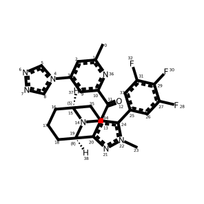 Cc1cc(-n2cnnc2)cc(C(=O)CN2[C@H]3CCC[C@@H]2c2nn(C)c(-c4cc(F)c(F)c(F)c4)c2C3)n1